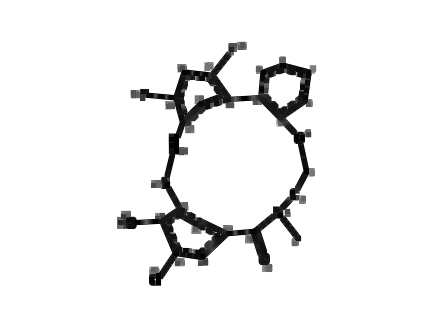 CN1CCOc2ccccc2-c2cc(c(F)cc2F)NSc2cc(cc(Cl)c2O)C1=O